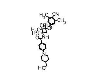 Cc1cc(OC2(C)CC(C)(NC(=O)c3ccc(N4CCC(CO)CC4)cc3)C2(C)C)cc(C)c1C#N